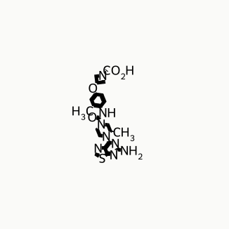 Cc1cc(OC2CN(C(=O)O)C2)ccc1NC(=O)N1CCN(c2nc(N)nc3scnc23)[C@@H](C)C1